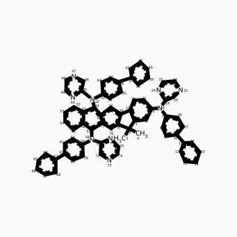 CC1(C)c2cc(N(c3ccc(-c4ccccc4)cc3)c3cnccn3)ccc2-c2cc3c(N(c4ccc(-c5ccccc5)cc4)c4cnccn4)c4ccccc4c(N(c4ccc(-c5ccccc5)cc4)c4cnccn4)c3cc21